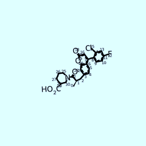 C[C@H](Cc1ccc2c(-c3ccc(F)cc3Cl)cc(=O)oc2c1)C(=O)N1CCC[C@H](C(=O)O)C1